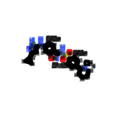 COc1cc2c(NS(=O)(=O)c3c(OC)cc(C4CCCCN4C)cc3OC)noc2cc1Nc1cc(C2CC2)n[nH]1